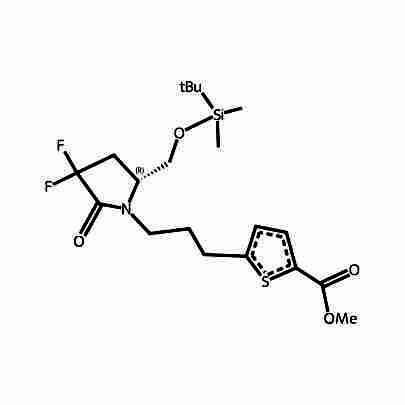 COC(=O)c1ccc(CCCN2C(=O)C(F)(F)C[C@@H]2CO[Si](C)(C)C(C)(C)C)s1